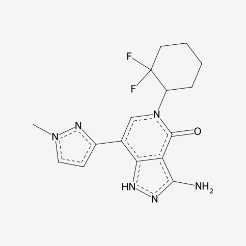 Cn1ccc(-c2cn(C3CCCCC3(F)F)c(=O)c3c(N)n[nH]c23)n1